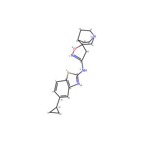 c1cc2sc(NC3=NOC4(C3)CN3CCC4CC3)nc2cc1C1CC1